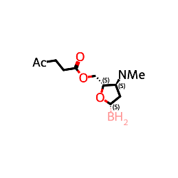 B[C@H]1C[C@H](NC)[C@@H](COC(=O)CCC(C)=O)O1